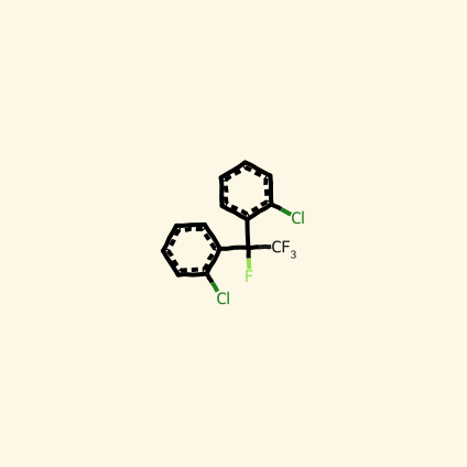 FC(F)(F)C(F)(c1ccccc1Cl)c1ccccc1Cl